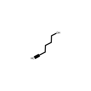 C#C[CH]CCCO